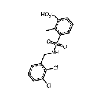 Cc1c(C(=O)O)cccc1S(=O)(=O)NCc1cccc(Cl)c1Cl